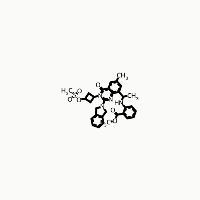 COC(=O)c1ccccc1NC(C)c1cc(C)cc2c(=O)n(C3CC(OS(C)(=O)=O)C3)c(N3Cc4ccccc4C3)nc12